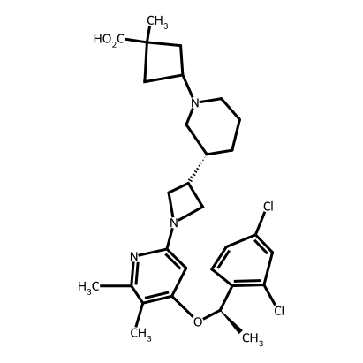 Cc1nc(N2CC([C@H]3CCCN(C4CC(C)(C(=O)O)C4)C3)C2)cc(O[C@H](C)c2ccc(Cl)cc2Cl)c1C